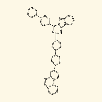 c1ccc(-c2ccc(-c3nc(-c4ccc(-c5ccc(-c6ccc7c(c6)ncc6ccccc67)cc5)cc4)nc4c3sc3ccccc34)cc2)cc1